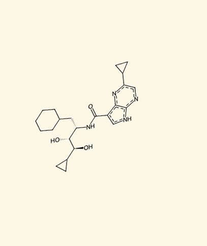 O=C(N[C@@H](CC1CCCCC1)[C@@H](O)[C@@H](O)C1CC1)c1c[nH]c2ncc(C3CC3)nc12